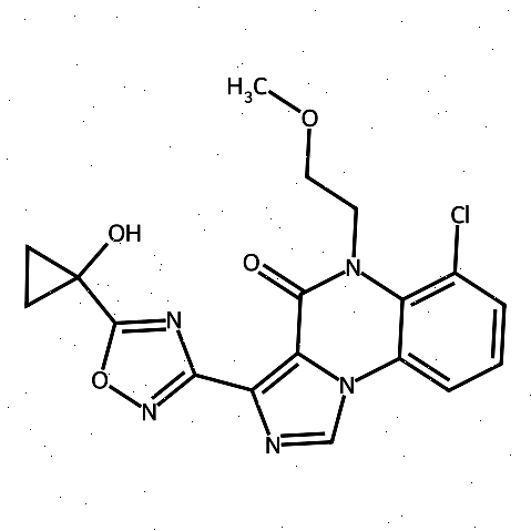 COCCn1c(=O)c2c(-c3noc(C4(O)CC4)n3)ncn2c2cccc(Cl)c21